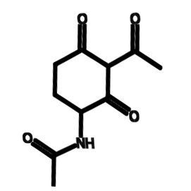 CC(=O)NC1CCC(=O)C(C(C)=O)C1=O